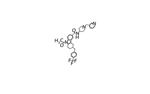 CC(=O)n1c2c(c3cc(C(=O)NC4CCN(Cc5cccnc5)CC4)ccc31)CC(Cc1ccc(C(F)(F)F)cc1)CC2